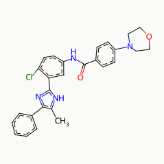 Cc1[nH]c(-c2cc(NC(=O)c3ccc(N4CCOCC4)cc3)ccc2Cl)nc1-c1ccccc1